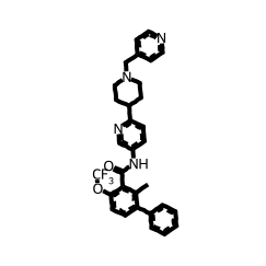 Cc1c(-c2ccccc2)ccc(OC(F)(F)F)c1C(=O)Nc1ccc(C2CCN(Cc3ccncc3)CC2)nc1